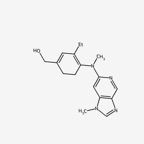 CCC1=C(N(C)c2cc3c(cn2)ncn3C)CCC(CO)=C1